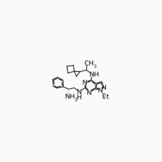 CCn1ncc2c(NC(C)C3CC34CCC4)nc(NC[C@H](N)c3ccccc3)nc21